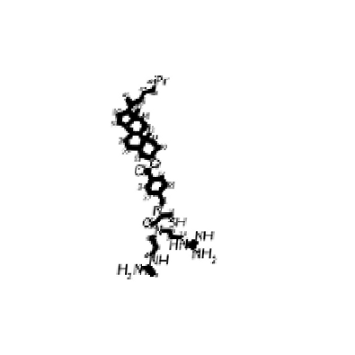 C=C(N)NCCCN(CCCNC(=N)N)C(=O)C(CS)/N=C/c1ccc(C(=O)OC2CCC3(C)C(=CCC4C3CCC3(C)C(C(C)CCCC(C)C)CCC43)C2)cc1